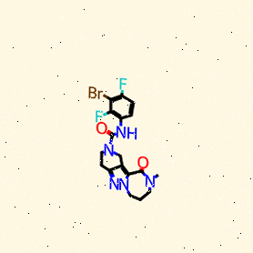 CN1CCCn2nc3c(c2C1=O)CN(C(=O)Nc1ccc(F)c(Br)c1F)CC3